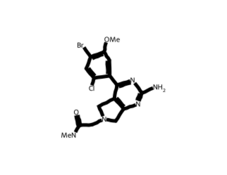 CNC(=O)CN1Cc2nc(N)nc(-c3cc(OC)c(Br)cc3Cl)c2C1